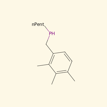 CCCCCPCc1ccc(C)c(C)c1C